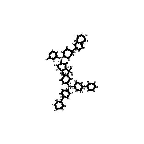 Cc1cccc(N(c2ccc(-c3ccc4ccccc4c3)cc2)c2ccc3c(c2)C(C)(C)c2cc(N(c4ccc(-c5ccccc5)cc4)c4ccc(-c5ccccc5)cc4)ccc2-3)c1